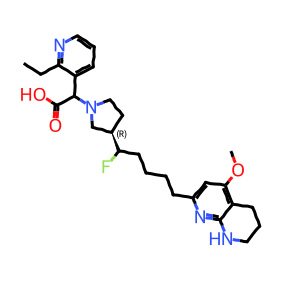 CCc1ncccc1C(C(=O)O)N1CC[C@@H](C(F)CCCCc2cc(OC)c3c(n2)NCCC3)C1